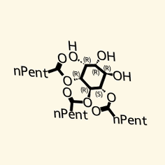 CCCCCC(=O)O[C@H]1[C@H](OC(=O)CCCCC)[C@H](O)[C@H](O)[C@@H](O)[C@@H]1OC(=O)CCCCC